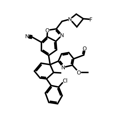 COc1nc(C2(c3cc(C#N)c4oc(CN5CC(F)C5)nc4c3)C=CC=C(c3ccccc3Cl)C2C)ccc1C=O